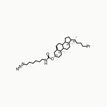 CC(C)CCC[C@@H](C)C1CCC2C3CC=C4C[C@@H](OC(=O)NCCCCCCN=[N+]=[N-])CC[C@]4(C)C3CC[C@@]21C